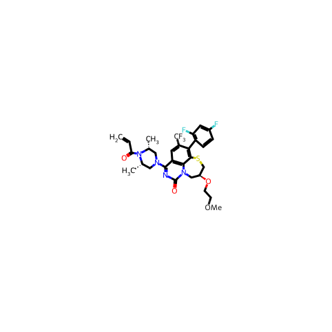 C=CC(=O)N1[C@H](C)CN(c2nc(=O)n3c4c(c(-c5ccc(F)cc5F)c(C(F)(F)F)cc24)SC[C@@H](OCCOC)C3)C[C@@H]1C